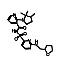 CC1CCN(c2ncccc2C(=O)NS(=O)(=O)c2cccc(NCC3CCCO3)n2)C1(C)C